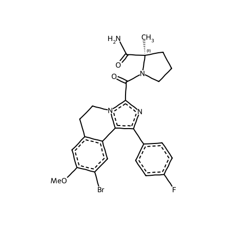 COc1cc2c(cc1Br)-c1c(-c3ccc(F)cc3)nc(C(=O)N3CCC[C@]3(C)C(N)=O)n1CC2